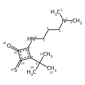 CN(C)CCCNc1c(C(C)(C)C)c(=S)c1=O